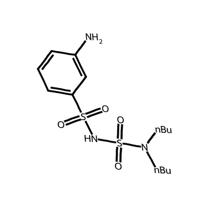 CCCCN(CCCC)S(=O)(=O)NS(=O)(=O)c1cccc(N)c1